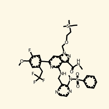 CNC(=O)c1nn(COCC[Si](C)(C)C)c2cc(-c3cc(F)c(OC)cc3CC(F)(F)F)nc(NCc3nccnc3N(C)S(=O)(=O)c3ccccc3)c12